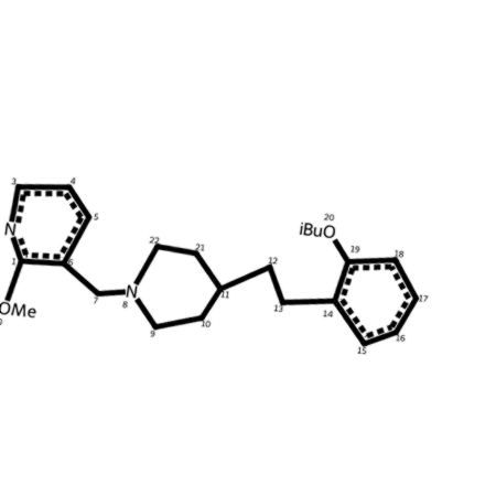 COc1ncccc1CN1CCC(CCc2ccccc2OCC(C)C)CC1